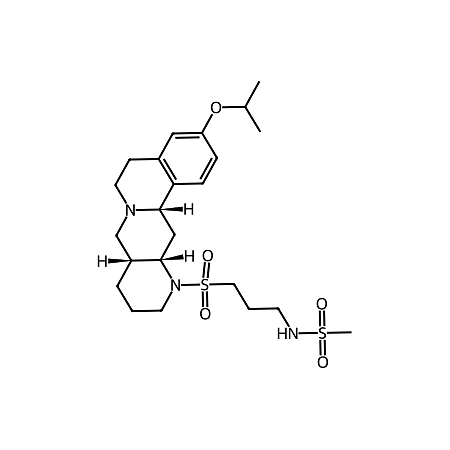 CC(C)Oc1ccc2c(c1)CCN1C[C@H]3CCCN(S(=O)(=O)CCCNS(C)(=O)=O)[C@H]3C[C@@H]21